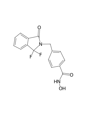 O=C(NO)c1ccc(CN2C(=O)c3ccccc3C2(F)F)cc1